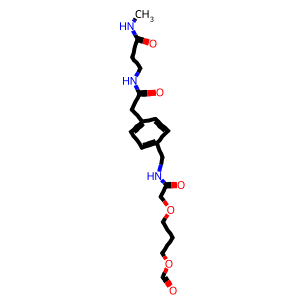 CNC(=O)CCNC(=O)Cc1ccc(CNC(=O)COCCCOC=O)cc1